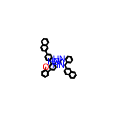 C1=Cc2cc(-c3ccc(-c4c(NC5Nc6ccccc6C(c6ccc7ccccc7c6)N5)ccc5c4oc4ccccc45)cc3)ccc2CC1